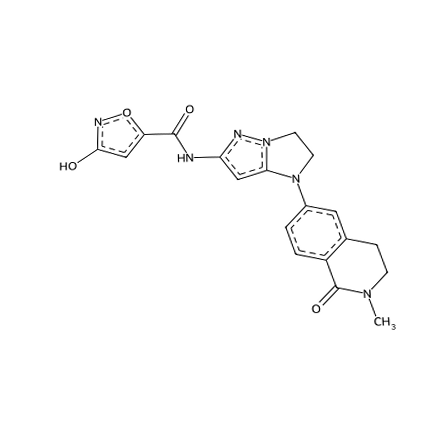 CN1CCc2cc(N3CCn4nc(NC(=O)c5cc(O)no5)cc43)ccc2C1=O